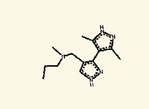 CCCN(C)Cc1c[nH]nc1-c1c(C)n[nH]c1C